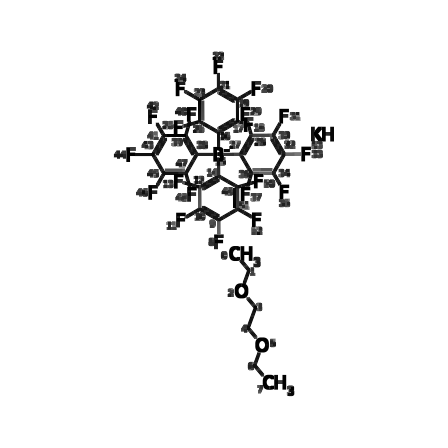 CCOCCOCC.Fc1c(F)c(F)c([B-](c2c(F)c(F)c(F)c(F)c2F)(c2c(F)c(F)c(F)c(F)c2F)c2c(F)c(F)c(F)c(F)c2F)c(F)c1F.[KH]